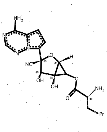 CC(C)C[C@@H](N)C(=O)OC1[C@H]2O[C@@](C#N)(c3ccc4c(N)ncnn34)[C@H](O)[C@@]12O